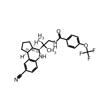 CC(C)(CNC(=O)c1ccc(OC(F)(F)F)cc1)[C@H]1Nc2ccc(C#N)cc2[C@H]2CCC[C@H]21